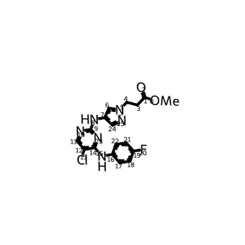 COC(=O)CCn1cc(Nc2ncc(Cl)c(Nc3ccc(F)cc3)n2)cn1